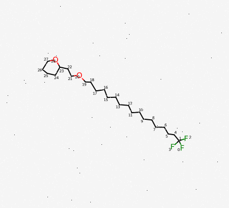 FC(F)(F)CCCCCCCCCCCCCCCCOCCC1CCCCO1